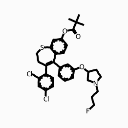 CC(C)(C)C(=O)Oc1ccc2c(c1)SCCC(c1ccc(Cl)cc1Cl)=C2c1cccc(OC2CCN(CCCF)C2)c1